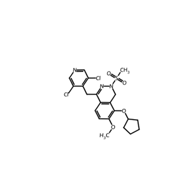 COc1ccc2c(c1OC1CCCC1)CN(S(C)(=O)=O)N=C2Cc1c(Cl)cncc1Cl